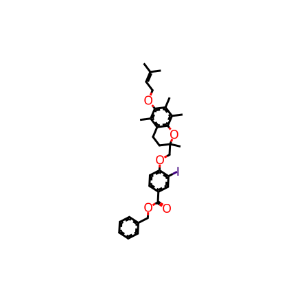 CC(C)=CCOc1c(C)c(C)c2c(c1C)CCC(C)(COc1ccc(C(=O)OCc3ccccc3)cc1I)O2